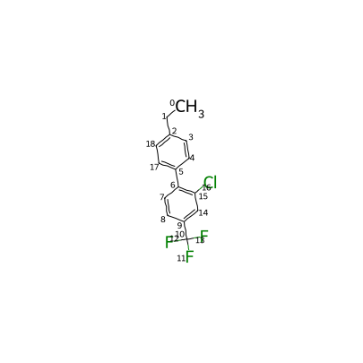 CCc1ccc(-c2ccc(C(F)(F)F)cc2Cl)cc1